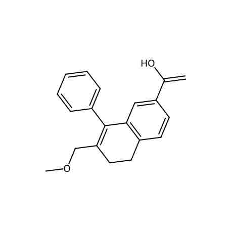 C=C(O)c1ccc2c(c1)C(c1ccccc1)=C(COC)CC2